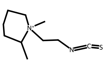 CC1CCCC[N+]1(C)CCN=C=S